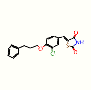 O=C1NC(=O)C(=Cc2ccc(OCCCc3ccccc3)c(Cl)c2)S1